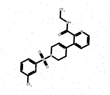 O=C(NCC(F)(F)F)c1ncccc1C1=CCN(S(=O)(=O)c2cccc(C(F)(F)F)c2)CC1